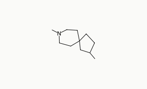 CC1CCC2(CCN(C)CC2)C1